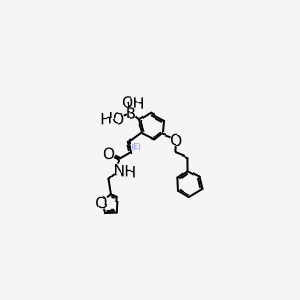 O=C(/C=C/c1cc(OCCc2ccccc2)ccc1B(O)O)NCc1ccco1